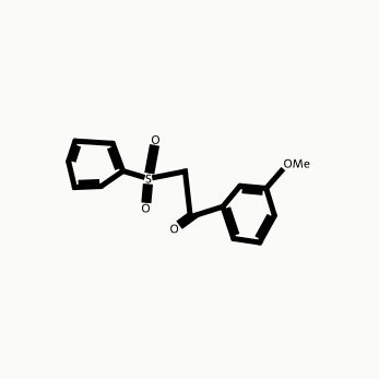 COc1cccc(C(=O)CS(=O)(=O)c2ccccc2)c1